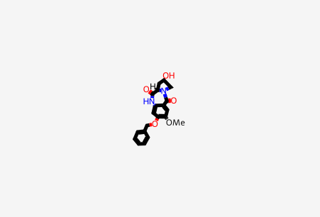 COc1cc2c(cc1OCc1ccccc1)NC(=O)[C@@H]1C[C@H](O)CN1C2=O